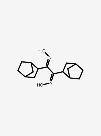 CN=C(C(=NO)C1CC2CCC1C2)C1CC2CCC1C2